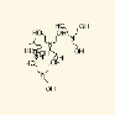 CC(C)[O][Ti]([OH])([OH])[OH].OCCN(CCO)CCO.OCCN(CCO)CCO.OCCN(CCO)CCO